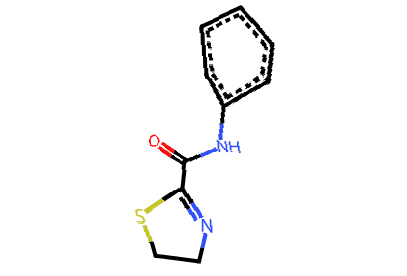 O=C(Nc1ccccc1)C1=NCCS1